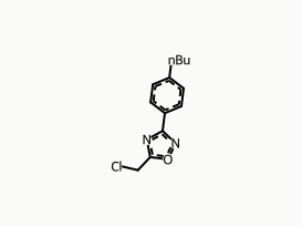 CCCCc1ccc(-c2noc(CCl)n2)cc1